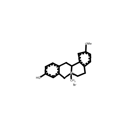 COc1ccc2c(c1)C1Cc3ccc(O)cc3C[N+]1(C)CC2.[Br-]